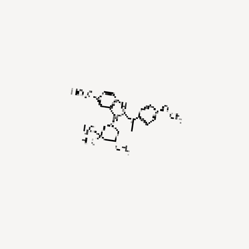 C[C@H]1CC(n2c(Nc3ccc(OC(F)(F)F)cc3)nc3ccc(C(=O)O)cc32)CC(C)(C)C1